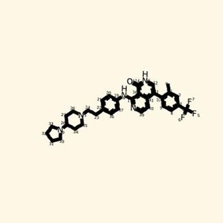 Cc1cc(C(F)(F)F)ccc1-c1c[nH]c(=O)c2c(Nc3ccc(CCN4CCC(N5CCCC5)CC4)cc3)nccc12